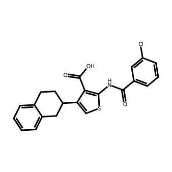 O=C(Nc1scc(C2CCc3ccccc3C2)c1C(=O)O)c1cccc(Cl)c1